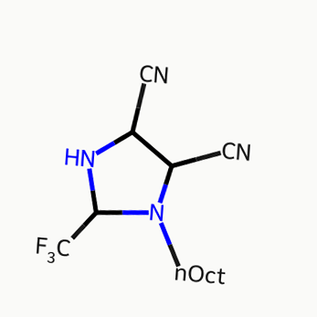 CCCCCCCCN1C(C#N)C(C#N)NC1C(F)(F)F